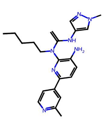 C=C(Nc1cnn(C)c1)N(CCCCC)c1nc(-c2ccnc(C)c2)ccc1N